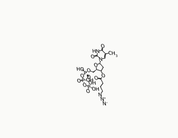 Cc1cn([C@H]2C[C@@H](OC(=O)CCCN=[N+]=[N-])[C@@H](COP(=O)(O)OP(=O)(O)OP(=O)(O)O)O2)c(=O)[nH]c1=O